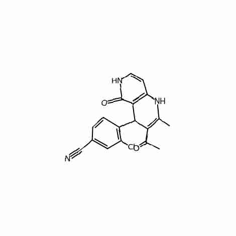 CC(=O)C1=C(C)Nc2cc[nH]c(=O)c2C1c1ccc(C#N)cc1Cl